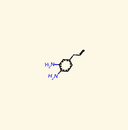 C=CCc1ccc(N)c(N)c1